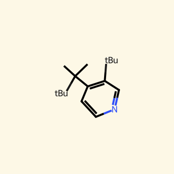 CC(C)(C)c1cnccc1C(C)(C)C(C)(C)C